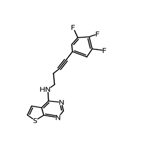 Fc1cc(C#CCCNc2ncnc3sccc23)cc(F)c1F